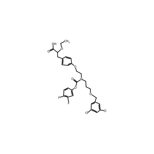 CCOC(Cc1ccc(OCCN(CCCOCc2cc(Cl)cc(Cl)c2)C(=O)Oc2ccc(F)c(F)c2)cc1)C(=O)O